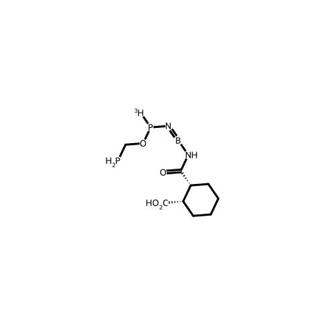 [3H]P(/N=B/NC(=O)[C@@H]1CCCC[C@@H]1C(=O)O)OCP